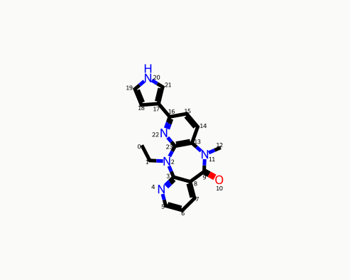 CCN1c2ncccc2C(=O)N(C)c2ccc(-c3cc[nH]c3)nc21